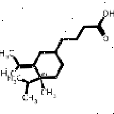 CC(C)=C1CC(CCCC(=O)O)CC[C@]1(C)C(C)C